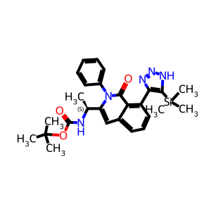 C[C@H](NC(=O)OC(C)(C)C)c1cc2cccc(-c3nn[nH]c3[Si](C)(C)C)c2c(=O)n1-c1ccccc1